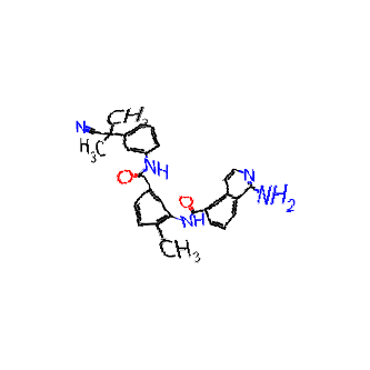 Cc1ccc(C(=O)Nc2cccc(C(C)(C)C#N)c2)cc1NC(=O)c1cccc2c(N)nccc12